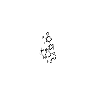 CO[C@@H]1[C@@H](n2cc(-c3ccc(Cl)c(F)c3F)nn2)[C@H]2OC(C)(C)OC[C@H]2O[C@H]1C(=O)O